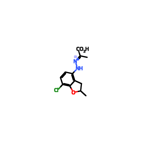 C/C(=N\Nc1ccc(Cl)c2c1CC(C)O2)C(=O)O